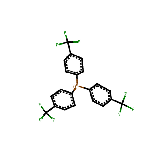 FC(F)(F)c1ccc([SH](c2ccc(C(F)(F)F)cc2)c2ccc(C(F)(F)F)cc2)cc1